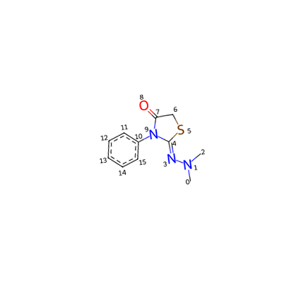 CN(C)N=C1SCC(=O)N1c1ccccc1